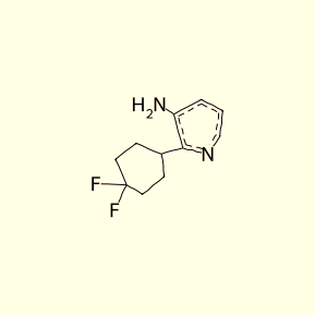 Nc1cccnc1C1CCC(F)(F)CC1